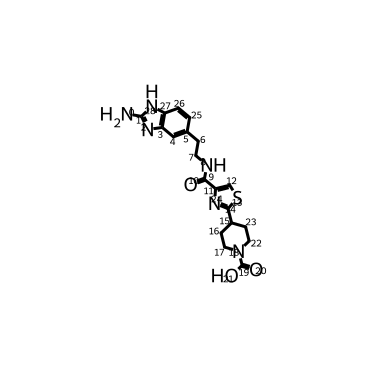 Nc1nc2cc(CCNC(=O)c3csc(C4CCN(C(=O)O)CC4)n3)ccc2[nH]1